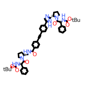 CC(C)(C)OC(=O)N[C@@H](C(=O)N1CCC[C@H]1CNC(=O)c1ccc(C#Cc2ccc(-c3cnc([C@@H]4CCCN4C(=O)[C@H](NC(=O)OC(C)(C)C)c4ccccc4)[nH]3)cc2)cc1)c1ccccc1